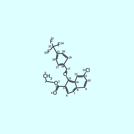 CCOC(=O)c1ccc2ccc(Cl)cc2c1OCc1ccc(C(F)(F)F)cc1